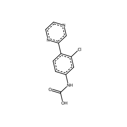 O=C(O)Nc1ccc(-c2cnccn2)c(Cl)c1